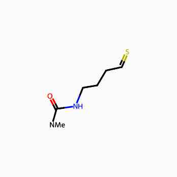 CNC(=O)NCCCC=S